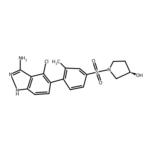 Cc1cc(S(=O)(=O)N2CC[C@@H](O)C2)ccc1-c1ccc2[nH]nc(N)c2c1Cl